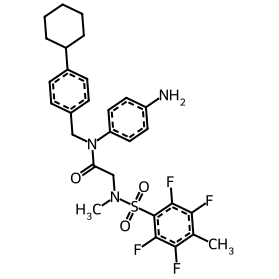 Cc1c(F)c(F)c(S(=O)(=O)N(C)CC(=O)N(Cc2ccc(C3CCCCC3)cc2)c2ccc(N)cc2)c(F)c1F